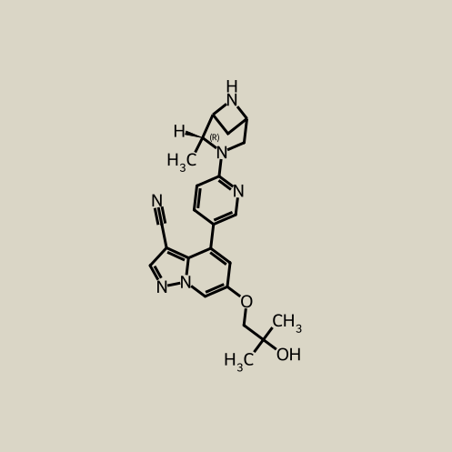 C[C@@H]1C2CC(CN1c1ccc(-c3cc(OCC(C)(C)O)cn4ncc(C#N)c34)cn1)N2